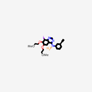 C#Cc1cccc(N(P)c2ncnc3c(I)c(OCCOC)c(OCCOC)cc23)c1